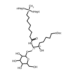 CCCCCCCCCCCCCCC[C@@H](O)[C@H](COC1OC(CO)C(O)C(O)C1O)NC(=O)CCCCCCCS(C)(CCCCCCC)CCCCCCC